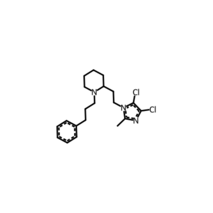 Cc1nc(Cl)c(Cl)n1CCC1CCCCN1CCCc1ccccc1